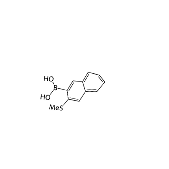 CSc1cc2ccccc2cc1B(O)O